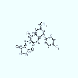 Cc1cc(-c2ccc(F)cc2)c2ccc(CN3C(=O)CCC3=O)c(F)c2n1